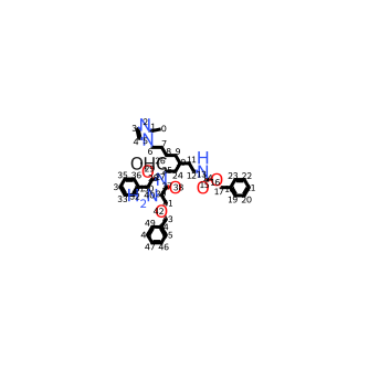 Cc1nccn1CCCCC(CCNC(=O)OCc1ccccc1)C[C@@H]([C]=O)N(C(=O)Cc1ccccc1)C(=O)[C@@H](N)COCc1ccccc1